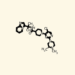 C[C@H]1CN(c2ncc(Cl)c(N3CCC(C(=O)NC(C)(C)c4cnc5ccccn45)CC3)n2)CCN1C